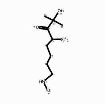 CCNCCCCC(N)C(=O)C(C)(C)O